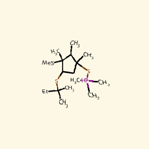 CCC(C)(C)SC1CC(C)(S[PH](C)(C)C)C(C)C1(C)SC